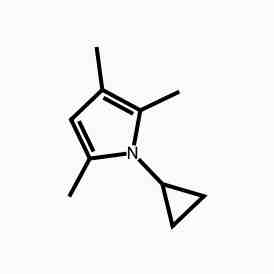 Cc1cc(C)n(C2CC2)c1C